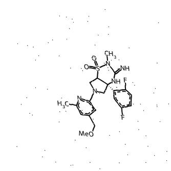 COCc1cc(C)nc(N2CC3[C@](c4cc(F)ccc4F)(C2)NC(=N)N(C)S3(=O)=O)c1